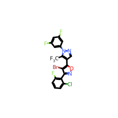 Fc1cc(F)cc(-n2ncc(-c3onc(-c4c(F)cccc4Cl)c3Br)c2C(F)(F)F)c1